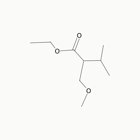 CCOC(=O)C(COC)C(C)C